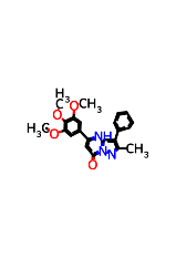 COc1cc(-c2cc(=O)n3nc(C)c(-c4ccccc4)c3[nH]2)cc(OC)c1OC